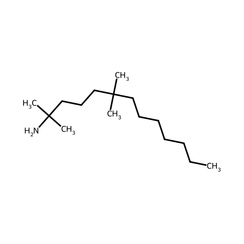 CCCCCCCC(C)(C)CCCC(C)(C)N